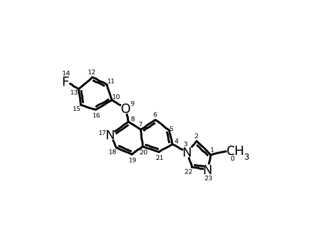 Cc1cn(-c2ccc3c(Oc4ccc(F)cc4)nccc3c2)cn1